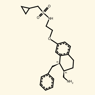 NC[C@@H]1CCc2ccc(OCCNS(=O)(=O)CC3CC3)cc2[C@@H]1Cc1ccccc1